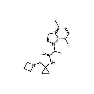 Cc1ccc(F)c2c1ccn2C(C)C(=O)NC1(CN2CCC2)CC1